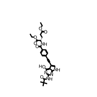 CCOC(=O)CC[C@H](NC(=O)c1ccc(C#Cc2c[nH]c3nc(NC(=O)C(C)(C)C)nc(O)c23)cc1)C(=O)OCC